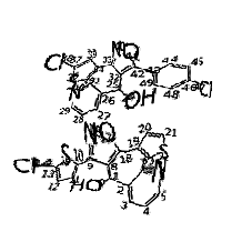 OC(c1cccnc1)c1c(-c2ccc(Cl)s2)noc1-c1ccsc1.OC(c1cccnc1)c1c(-c2csc(Cl)c2)noc1-c1ccc(Cl)cc1